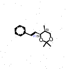 C[C@H]1COC(C)(C)O[C@H]1/C=C/c1ccccc1